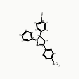 O=[N+]([O-])c1ccc(C2=NN(c3ccccc3)C(c3ccc(F)cc3)C2)cc1